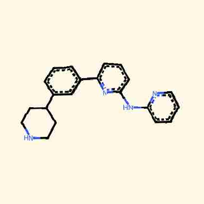 c1ccc(Nc2cccc(-c3cccc(C4CCNCC4)c3)n2)nc1